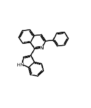 c1ccc(-c2cc3ccccc3c(-c3c[nH]c4ccccc34)n2)cc1